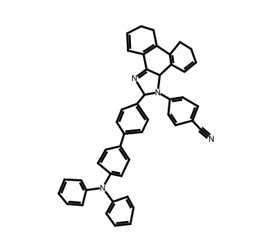 N#Cc1ccc(N2C3C(=NC2c2ccc(-c4ccc(N(c5ccccc5)c5ccccc5)cc4)cc2)C2=C(CCC=C2)C2=C3C=CCC2)cc1